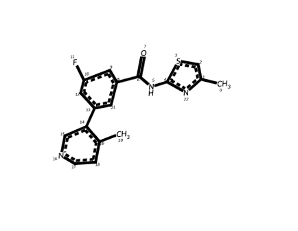 Cc1csc(NC(=O)c2cc(F)cc(-c3cnccc3C)c2)n1